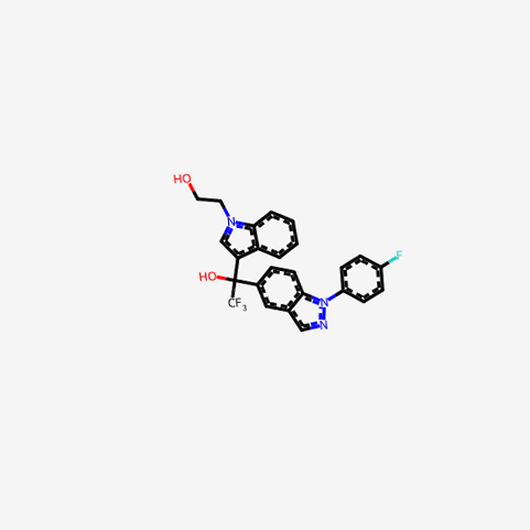 OCCn1cc(C(O)(c2ccc3c(cnn3-c3ccc(F)cc3)c2)C(F)(F)F)c2ccccc21